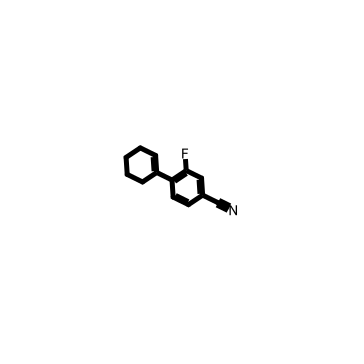 N#Cc1ccc(C2=CCCCC2)c(F)c1